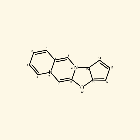 C1=CC2=CN3C(=CN2C=C1)OC1=CC=CC13